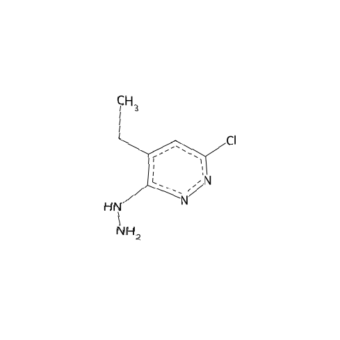 CCc1cc(Cl)nnc1NN